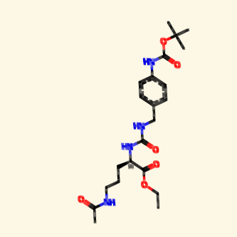 CCOC(=O)[C@@H](CCCNC(C)=O)NC(=O)NCc1ccc(NC(=O)OC(C)(C)C)cc1